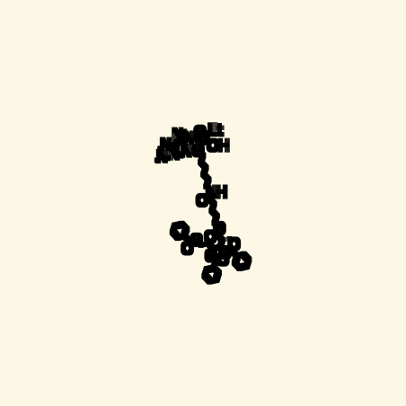 CC[C@H]1O[C@@H](n2cnc3c(/N=C\N(C)C)ncnc32)[C@@H](OCCCCCCNC(=O)CCCCO[C@@H]2O[C@H](COC(=O)c3ccccc3)[C@H](OC(=O)c3ccccc3)[C@H](OC(=O)c3ccccc3)[C@H]2C)C1O